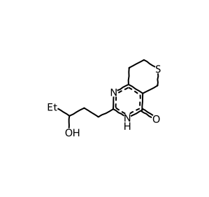 CCC(O)CCc1nc2c(c(=O)[nH]1)CSCC2